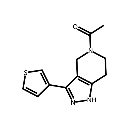 CC(=O)N1CCc2[nH]nc(-c3ccsc3)c2C1